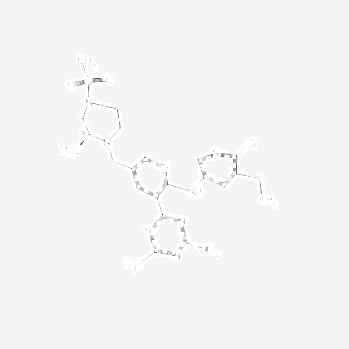 COc1cc(Nc2ncc(CN3CCN(S(C)(=O)=O)C[C@@H]3C)cc2-c2nc(C)nc(N)n2)cnc1Cl